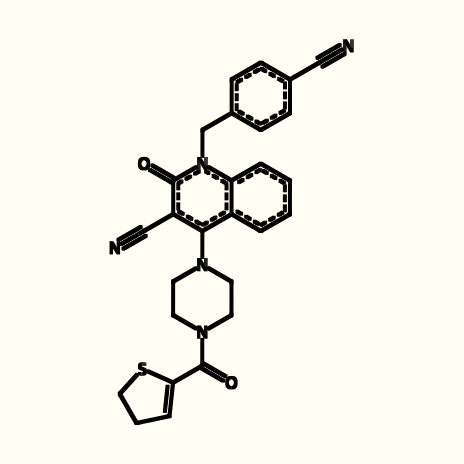 N#Cc1ccc(Cn2c(=O)c(C#N)c(N3CCN(C(=O)C4=CCCS4)CC3)c3ccccc32)cc1